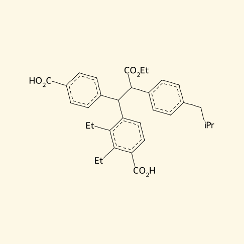 CCOC(=O)C(c1ccc(CC(C)C)cc1)C(c1ccc(C(=O)O)cc1)c1ccc(C(=O)O)c(CC)c1CC